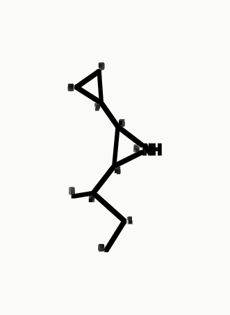 CCC(C)C1NC1C1CC1